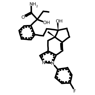 CCC(O)(C(N)=O)c1ccccc1CC[C@]1(O)CCC2=Cc3c(cnn3-c3ccc(F)cc3)C[C@@]21C